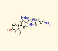 CCc1cc(O)ccc1-c1ccc2c(-c3nc(/C=C/CN)c[nH]3)n[nH]c2c1